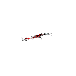 C=CCOCCOC(=O)CCCC(=O)Oc1ccc(C(=O)Oc2ccc(OC(O)c3ccc(OC(O)CCCCOCCOC(=O)C=C)cc3)cc2C)cc1